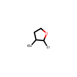 CCC1OCCC1C(C)(C)C